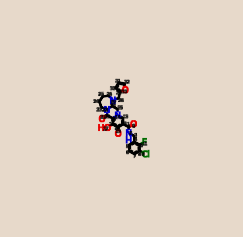 O=C(NCc1cccc(Cl)c1F)c1cn2c(c(O)c1=O)C(=O)N1CCCCN(Cc3ccco3)C1C2